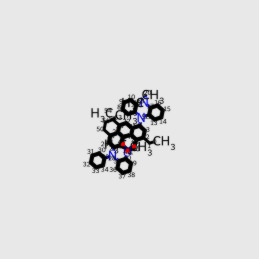 CCc1cc(N(c2ccccc2)c2ccccc2N(C)C)c2cc3c4c(cc(N(c5ccccc5)c5ccccc5N(C)C)c5ccc1c2c54)CCC3(C)C